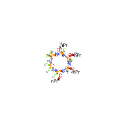 CCCOP1(F)=NP(F)(F)=NP(F)(F)=NP(F)(OCCC)=NP(F)(OCCC)=NP(F)(OCCC)=N1